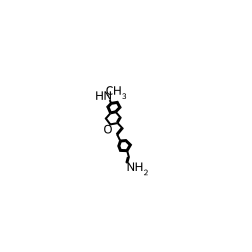 CNc1ccc2c(c1)CC(=O)C(/C=C/c1ccc(/C=C/N)cc1)=C2